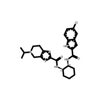 CC(C)N1CCc2nc(C(=O)N[C@@H]3CCCC[C@@H]3NC(=O)c3cc4cc(Cl)ccc4[nH]3)sc2C1